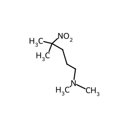 CN(C)CCCC(C)(C)[N+](=O)[O-]